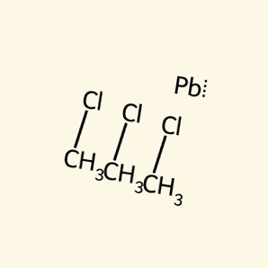 CCl.CCl.CCl.[Pb]